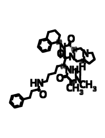 CN[C@@H](C)C(=O)N[C@@H](CCCCNC(=O)CCc1ccccc1)C(=O)N1C[C@H]2CCCN2C[C@H]1C(=O)N[C@@H]1CCCc2ccccc21